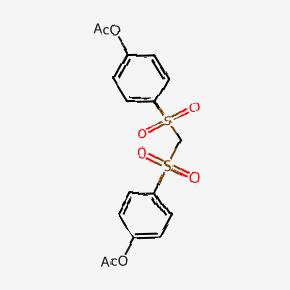 CC(=O)Oc1ccc(S(=O)(=O)CS(=O)(=O)c2ccc(OC(C)=O)cc2)cc1